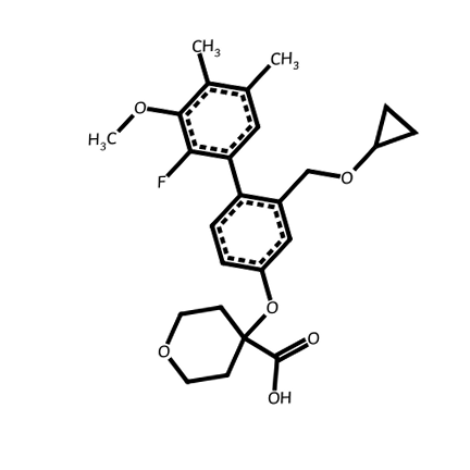 COc1c(C)c(C)cc(-c2ccc(OC3(C(=O)O)CCOCC3)cc2COC2CC2)c1F